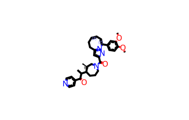 COc1ccc(/C2=C/C=C\CCc3cc(C(=O)N4CCCC(C(C)C(=O)c5ccncc5)[C@@H](C)C4)nn32)cc1OC